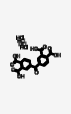 Cl.Cl.Cl.Cl.O=C(c1ccc(C(=O)O)c(C(=O)O)c1)c1ccc(C(=O)O)c(C(=O)O)c1